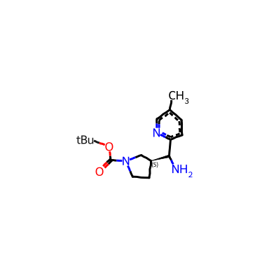 Cc1ccc(C(N)[C@H]2CCN(C(=O)OC(C)(C)C)C2)nc1